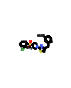 COc1cccc(Cc2csc(N3CCC(S(=O)(=O)C4C=CC=CC4(C)Cl)CC3)n2)c1